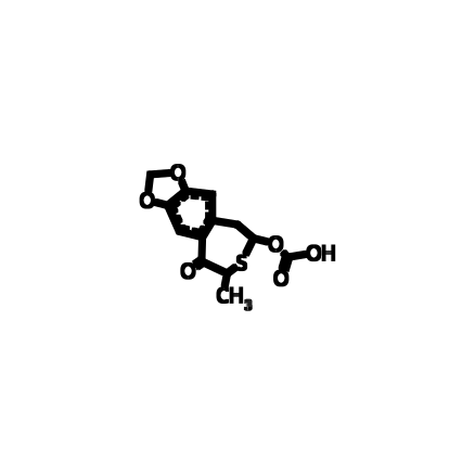 CC1SC(OC(=O)O)Cc2cc3c(cc2C1=O)OCO3